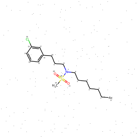 CC(=O)CCCCCCN(CCCc1cccc(Cl)c1)S(C)(=O)=O